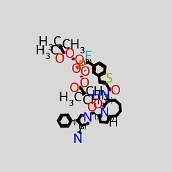 CC(C)(C)C(=O)OCOP(=O)(OCOC(=O)C(C)(C)C)[C@@H](F)c1ccc2sc(C(=O)N[C@H]3CCCC[C@H]4CC[C@@H](C(=O)N5C[C@@H](C#N)[C@H](c6ccccc6)C5)N4C3=O)cc2c1